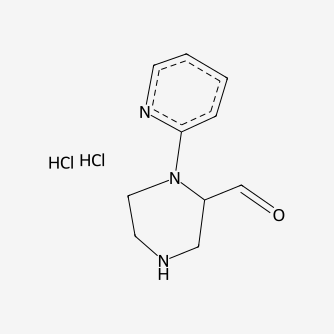 Cl.Cl.O=CC1CNCCN1c1ccccn1